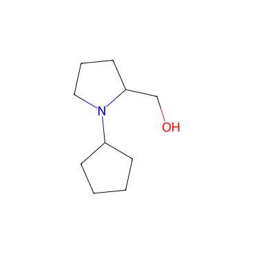 OCC1CCCN1C1CCCC1